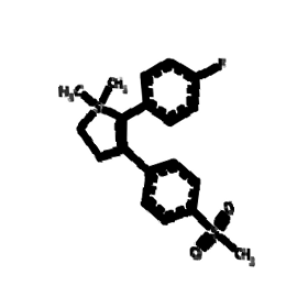 C[Si]1(C)CCC(c2ccc(S(C)(=O)=O)cc2)=C1c1ccc(F)cc1